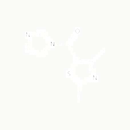 Cc1nc(C)c(C(=O)n2ccnc2)s1